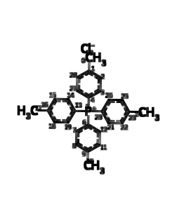 Cc1ccc([P+](c2ccc(C)cc2)(c2ccc(C)cc2)c2ccc(C)cc2)cc1.[Cl-]